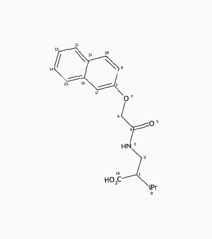 CC(C)C(CNC(=O)COc1ccc2ccccc2c1)C(=O)O